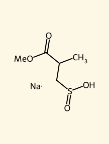 COC(=O)C(C)CS(=O)O.[Na]